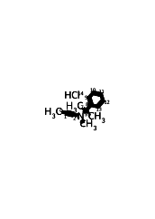 CC#CN(C)C(C)(C)c1ccccc1.Cl